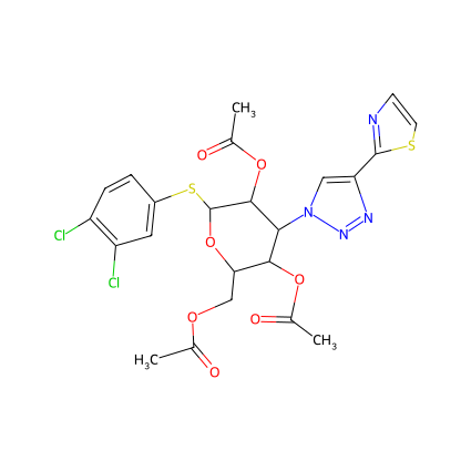 CC(=O)OCC1OC(Sc2ccc(Cl)c(Cl)c2)C(OC(C)=O)C(n2cc(-c3nccs3)nn2)C1OC(C)=O